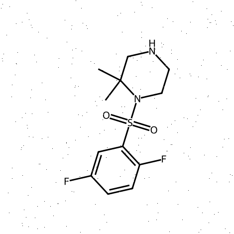 CC1(C)CNCCN1S(=O)(=O)c1cc(F)ccc1F